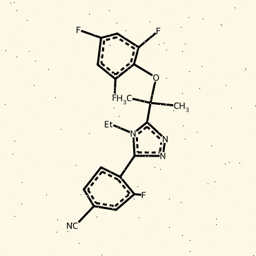 CCn1c(-c2ccc(C#N)cc2F)nnc1C(C)(C)Oc1c(F)cc(F)cc1F